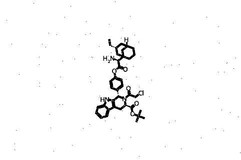 CC[C@@H]1C[C@@H]2CCCC([C@H](N)C(=O)Oc3ccc([C@H]4c5[nH]c6ccccc6c5C[C@H](C(=O)OC(C)(C)C)N4C(=O)CCl)cc3)(C1)C2